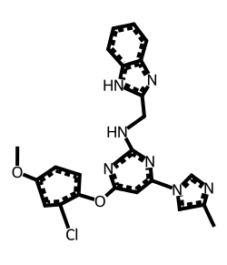 COc1ccc(Oc2cc(-n3cnc(C)c3)nc(NCc3nc4ccccc4[nH]3)n2)c(Cl)c1